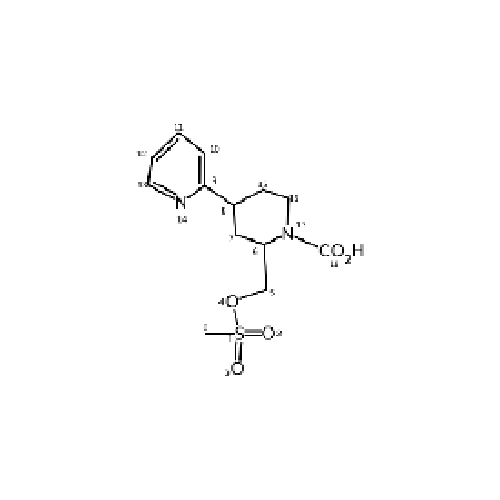 CS(=O)(=O)OCC1CC(c2ccccn2)CCN1C(=O)O